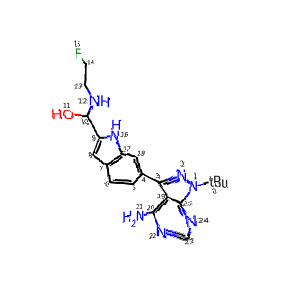 CC(C)(C)n1nc(-c2ccc3cc(C(O)NCCF)[nH]c3c2)c2c(N)ncnc21